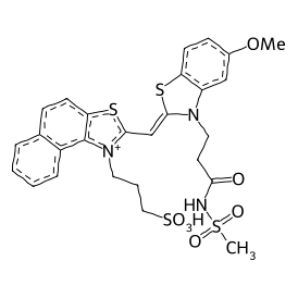 COc1ccc2c(c1)N(CCC(=O)NS(C)(=O)=O)/C(=C/c1sc3ccc4ccccc4c3[n+]1CCCS(=O)(=O)O)S2